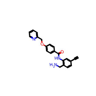 C#Cc1ccc(CN)c(NC(=O)c2ccc(OCc3ccccn3)cc2)c1